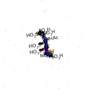 CC(=O)Nc1cc(N=Nc2cc(OCCCS(=O)(=O)O)c(N=Nc3c(C)c(C#N)c4nc5cc(S(=O)(=O)O)cc(Cl)c5n4c3O)cc2C)c(SCCCS(=O)(=O)O)cc1N=Nc1nc2c(S(=O)(=O)O)cc3c(S(=O)(=O)O)cc(S(=O)(=O)O)cc3c2s1